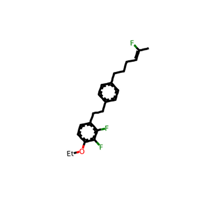 CCOc1ccc(CCc2ccc(CCC/C=C(/C)F)cc2)c(F)c1F